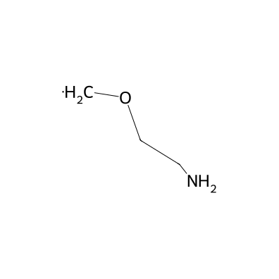 [CH2]OCCN